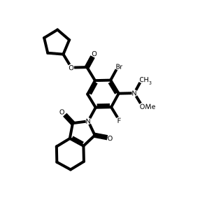 CON(C)c1c(F)c(N2C(=O)C3=C(CCCC3)C2=O)cc(C(=O)OC2CCCC2)c1Br